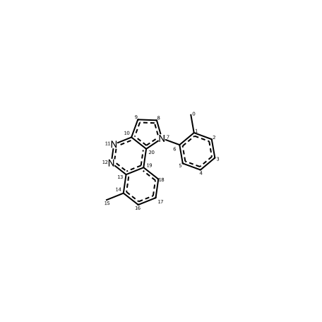 Cc1ccccc1-n1ccc2nnc3c(C)cccc3c21